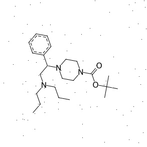 CCCN(CCC)CC(c1ccccc1)N1CCN(C(=O)OC(C)(C)C)CC1